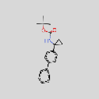 CC(C)(C)OC(=O)NC1(c2ccc(-c3ccccc3)cc2)CC1